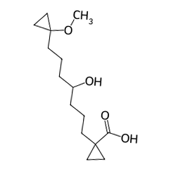 COC1(CCCC(O)CCCC2(C(=O)O)CC2)CC1